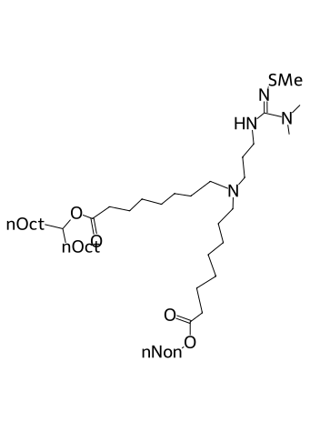 CCCCCCCCCOC(=O)CCCCCCCN(CCCCCCCC(=O)OC(CCCCCCCC)CCCCCCCC)CCCN/C(=N/SC)N(C)C